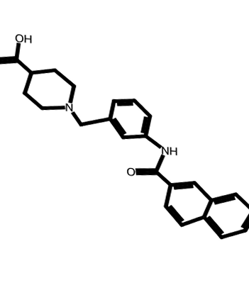 O=C(Nc1cccc(CN2CCC(C(=O)O)CC2)c1)c1ccc2ccccc2c1